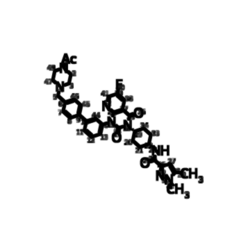 CC(=O)N1CCN(Cc2ccc(-c3cccc(-n4c(=O)n([C@H]5CC[C@@H](NC(=O)c6cc(C)n(C)n6)CC5)c(=O)c5cc(F)cnc54)c3)cc2)CC1